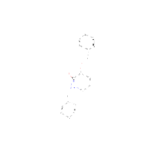 O=c1c(OCc2ccccc2)cccn1Cc1ccccc1